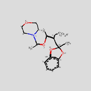 CC(OC(C)N1CCOCC1)C(C(=O)O)C1(C)Oc2ccccc2O1